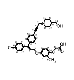 Cc1cc(OC/C=C(/c2ccc(Cl)cc2)c2ccc(C#CCN3CCC(CO)CC3)cc2)ccc1OCC(=O)O